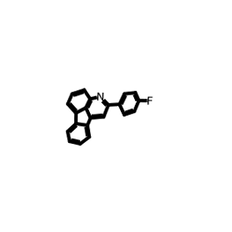 Fc1ccc(-c2cc3c4c(cccc4n2)-c2ccccc2-3)cc1